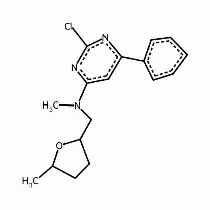 CC1CCC(CN(C)c2cc(-c3ccccc3)nc(Cl)n2)O1